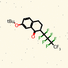 CC(C)(C)Oc1ccc2c(c1)C(=O)C(C(F)(F)C(F)(F)C(F)(F)C(F)(F)F)CC2